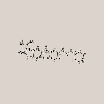 CCC(CC)N1C(=O)Cc2cnc(Nc3cccc(OCCN4CCOCC4)c3)nc21